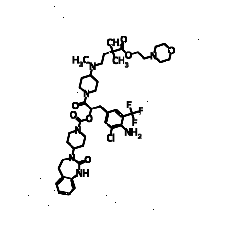 CN(CCC(C)(C)C(=O)OCCN1CCOCC1)C1CCN(C(=O)[C@@H](Cc2cc(Cl)c(N)c(C(F)(F)F)c2)OC(=O)N2CCC(N3CCc4ccccc4NC3=O)CC2)CC1